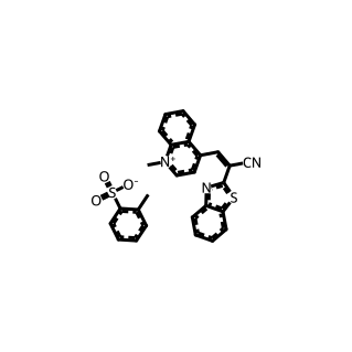 C[n+]1ccc(C=C(C#N)c2nc3ccccc3s2)c2ccccc21.Cc1ccccc1S(=O)(=O)[O-]